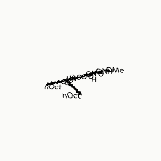 CCCCCCCC/C=C\CCCCCCCCOCC(COC(=O)NCCOCCOCCOC(=O)CNCCOC(=O)CNCCOC)OCCCCCCCC/C=C\CCCCCCCC